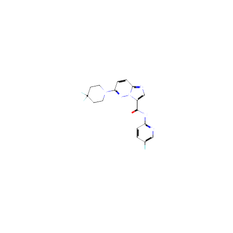 O=C(Nc1ccc(F)cn1)c1cnc2ccc(N3CCC(F)(F)CC3)nn12